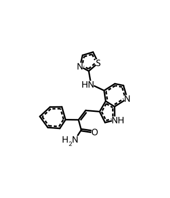 NC(=O)C(=Cc1c[nH]c2nccc(Nc3nccs3)c12)c1ccccc1